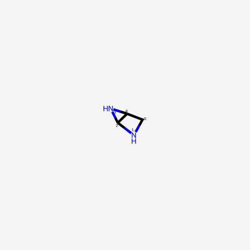 C1NC2NC12